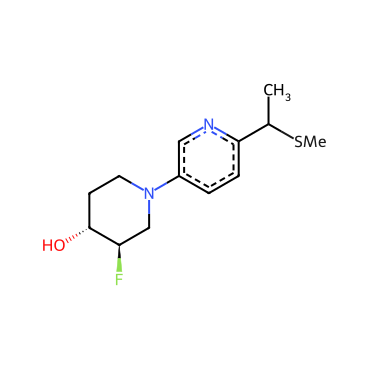 CSC(C)c1ccc(N2CC[C@@H](O)[C@H](F)C2)cn1